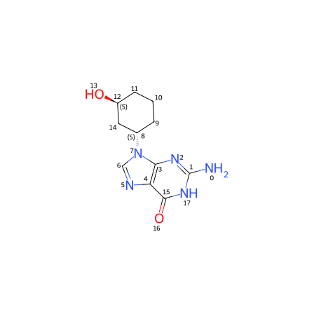 Nc1nc2c(ncn2[C@H]2CCC[C@H](O)C2)c(=O)[nH]1